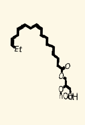 CC/C=C\C/C=C\C/C=C\CCCCCCCC(=O)OCC(CO)OCCCCCCCC